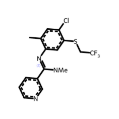 CN/C(=N\c1cc(SCC(F)(F)F)c(Cl)cc1C)c1cccnc1